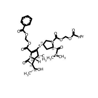 CCCC(=O)OCOC(=O)N1C[C@@H](SC2=C(C(=O)OCOC(=O)c3ccccc3)N3C(=O)[C@H]([C@@H](C)O)[C@H]3[C@H]2C)C[C@H]1C(=O)N(C)C